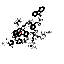 Cc1c(N(C(=O)c2cc(-c3cc(Cl)ccc3C(=O)N3Cc4ccccc4C[C@H]3CCC[N+](C)(C)Cc3ccc(NC(=O)[C@H](CCCNC(N)=O)NC(=O)[C@@H](NC(=O)OC(C)(C)C)C(C)C)cc3CN(C)C(=O)OCC3c4ccccc4-c4ccccc43)n(C)c2C)c2ccc(O[Si](C)(C)C(C)(C)C)cc2)cc(C#N)n1C.O=C([O-])C(F)(F)F